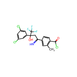 Cc1cc(C(=N)CC(O)(c2cc(Cl)cc(Cl)c2)C(F)(F)F)ccc1C(=O)Cl